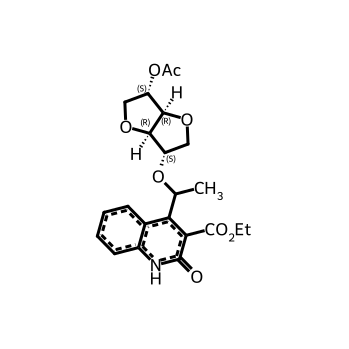 CCOC(=O)c1c(C(C)O[C@H]2CO[C@H]3[C@@H]2OC[C@@H]3OC(C)=O)c2ccccc2[nH]c1=O